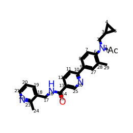 CC(=O)N(CC1CC1)c1ccc(-c2ccc(C(=O)NCc3cccnc3C)cn2)cc1C